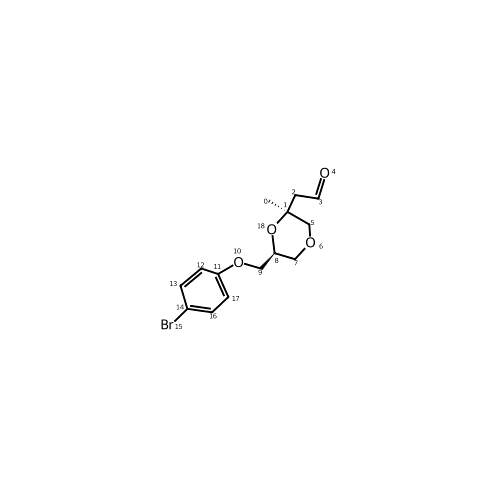 C[C@]1(CC=O)COC[C@@H](COc2ccc(Br)cc2)O1